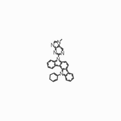 Cn1cnc2nc(-n3c4ccccc4c4c5c(ccc43)c3ccccc3n5C3=CCCC=C3)ncc21